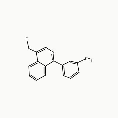 Cc1cccc(-c2ncc(CF)c3ccccc23)c1